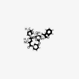 CC1(C)CCN(C(C)(C)C=C(C#N)C(=O)N2CCCC(OC(=O)N[C@@H](Cc3coc4ccccc34)B(O)O)C2)C1